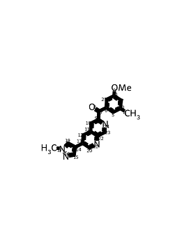 COc1cc(C)cc(C(=O)c2cc3cc(-c4cnn(C)c4)cnc3cn2)c1